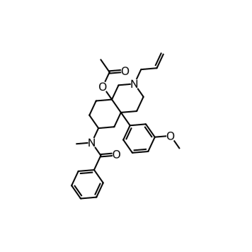 C=CCN1CCC2(c3cccc(OC)c3)CC(N(C)C(=O)c3ccccc3)CCC2(OC(C)=O)C1